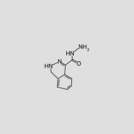 NNC(=O)C1=NNCc2ccccc21